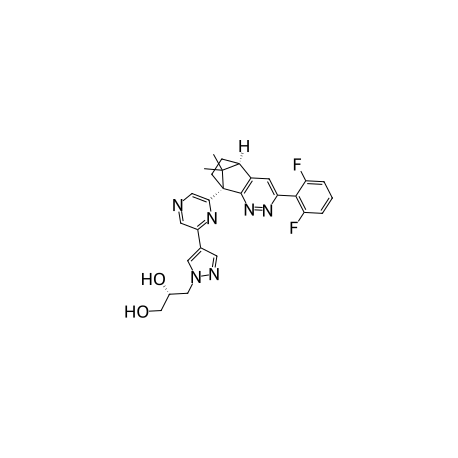 CC1(C)[C@H]2CC[C@]1(c1cncc(-c3cnn(C[C@@H](O)CO)c3)n1)c1nnc(-c3c(F)cccc3F)cc12